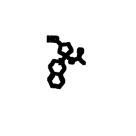 CC(=O)OC1(N2CCc3ccccc3C2)CCC(O)C1